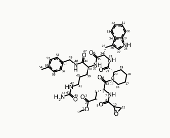 COC(=O)CC[C@@H](NC(=O)C1CO1)C(=O)N1CCCC[C@H]1C(=O)N[C@@H](Cc1c[nH]c2ccccc12)C(=O)N[C@@H](CCCNC(N)=O)C(=O)NCc1ccc(C)cc1